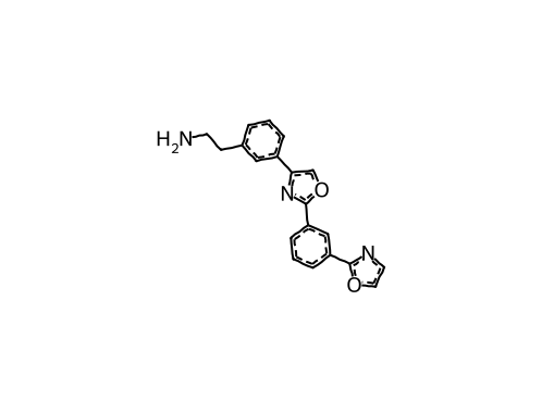 NCCc1cccc(-c2coc(-c3cccc(-c4ncco4)c3)n2)c1